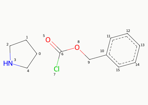 C1CCNC1.O=C(Cl)OCc1ccccc1